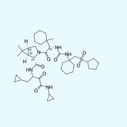 CC1([C@H](NC(=O)NC2(CS(=O)(=O)C3CCCC3)CCCCC2)C(=O)N2C[C@H]3[C@@H]([C@H]2C(=O)NC(CC2CC2)C(=O)C(=O)NC2CC2)C3(C)C)CCCCC1